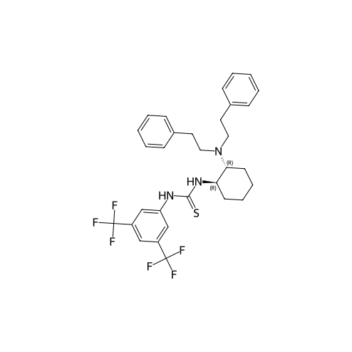 FC(F)(F)c1cc(NC(=S)N[C@@H]2CCCC[C@H]2N(CCc2ccccc2)CCc2ccccc2)cc(C(F)(F)F)c1